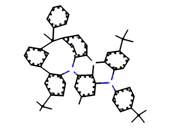 Cc1cc2c3c(c1)N1c4cc(ccc4B3c3cc(C(C)(C)C)ccc3N2c2ccc(C(C)(C)C)cc2)C(C)(c2ccccc2)c2cccc(c2)-c2cc(C(C)(C)C)ccc21